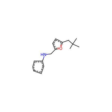 CC(C)(C)Cc1ccc(CNc2ccccc2)o1